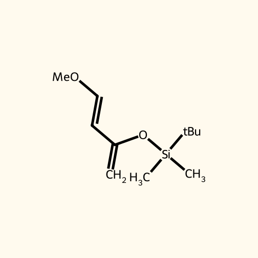 C=C(/C=C/OC)O[Si](C)(C)C(C)(C)C